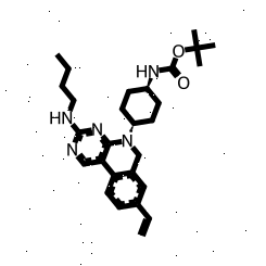 C=Cc1ccc2c(c1)CN([C@H]1CC[C@H](NC(=O)OC(C)(C)C)CC1)c1nc(NCCCC)ncc1-2